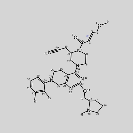 COC/C=C/C(=O)N1CCN(c2nc(OCC3CCCN3C)nc3c2CCN(c2cccc(C)c2C)C3)CC1CC#N